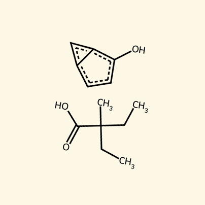 CCC(C)(CC)C(=O)O.Oc1ccc2cc1-2